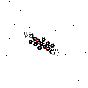 C=C/C=C\c1c(C)sc2c(N(c3ccccc3)c3cccc4c3c3cccc5c6c(-c7ccccc7)c7c(c(-c8ccccc8)c6n4c35)c3cccc4c5c(N(c6ccccc6)c6cccc8c(/C=C\C)c(C=C)sc68)cccc5n7c43)cccc12